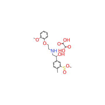 COc1ccccc1OCCNCC(O)c1ccc(C)c(S(=O)OC)c1.O=C(O)C(=O)O